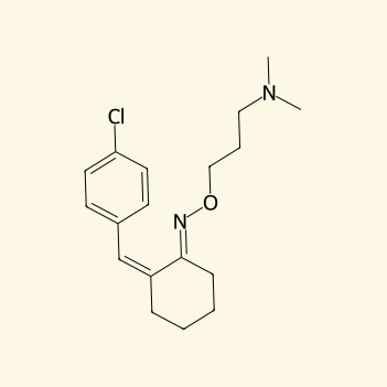 CN(C)CCCON=C1CCCCC1=Cc1ccc(Cl)cc1